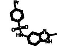 Cc1nc2cc(NS(=O)(=O)c3ccc(C(C)C)cc3)ccc2[nH]1